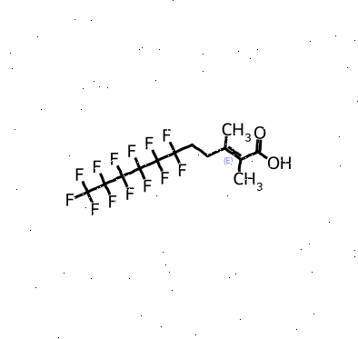 C/C(CCC(F)(F)C(F)(F)C(F)(F)C(F)(F)C(F)(F)C(F)(F)F)=C(/C)C(=O)O